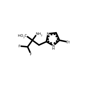 CCc1cnc(CC(N)(C(=O)O)C(F)F)[nH]1